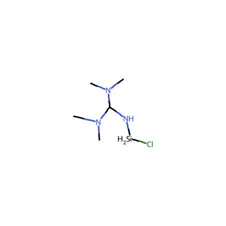 CN(C)C(N[SiH2]Cl)N(C)C